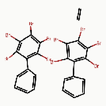 Brc1c(Br)c(Br)c(-c2ccccc2)c(Br)c1Br.Brc1c(Br)c(Br)c(-c2ccccc2)c(Br)c1Br.C=C